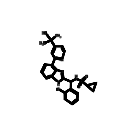 CC(C)(O)c1ccnc(-c2cccc3[nH]c(C(NS(=O)(=O)C4CC4)c4ccccc4Cl)nc23)c1